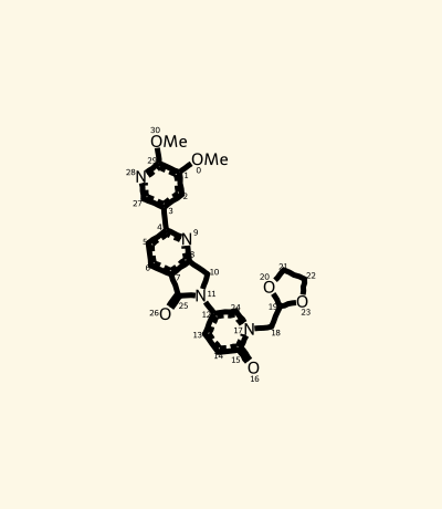 COc1cc(-c2ccc3c(n2)CN(c2ccc(=O)n(CC4OCCO4)c2)C3=O)cnc1OC